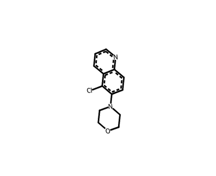 Clc1c(N2CCOCC2)ccc2ncccc12